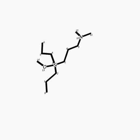 CCC[Si](CCC)(CCCN(C)C)OC